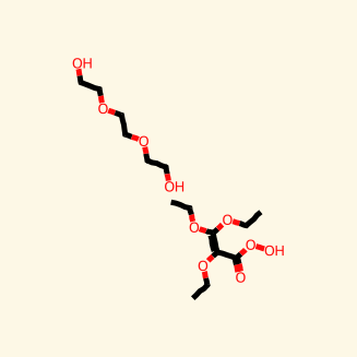 CCOC(OCC)=C(OCC)C(=O)OO.OCCOCCOCCO